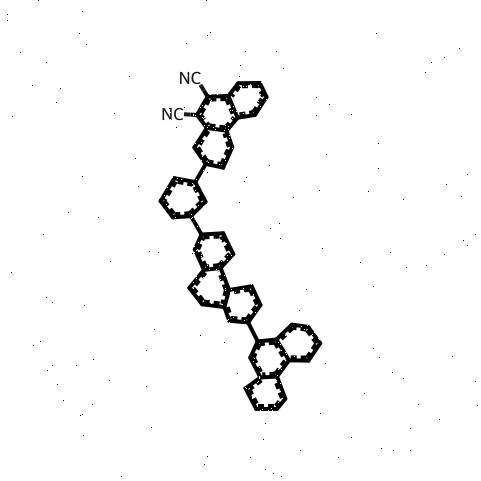 N#Cc1c(C#N)c2cc(-c3cccc(-c4ccc5c(ccc6cc(-c7cc8ccccc8c8ccccc78)ccc65)c4)c3)ccc2c2ccccc12